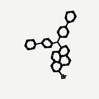 Brc1ccc2ccc3c(C(c4ccc(-c5ccccc5)cc4)c4ccc(-c5ccccc5)cc4)ccc4ccc1c2c43